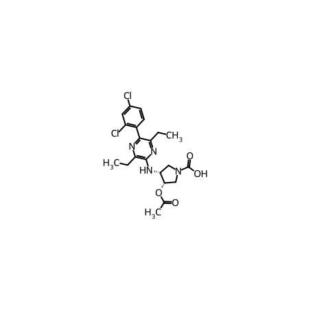 CCc1nc(-c2ccc(Cl)cc2Cl)c(CC)nc1N[C@@H]1CN(C(=O)O)C[C@@H]1OC(C)=O